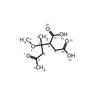 COC(C)(CC(C)=O)C(CC(=O)O)C(=O)O